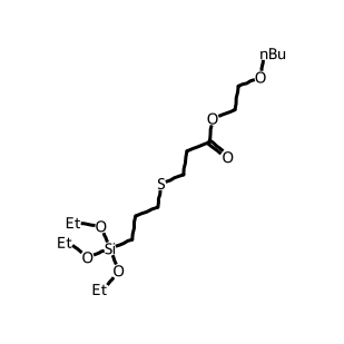 CCCCOCCOC(=O)CCSCCC[Si](OCC)(OCC)OCC